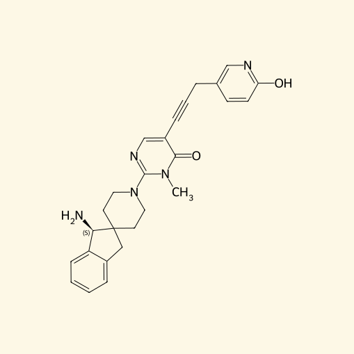 Cn1c(N2CCC3(CC2)Cc2ccccc2[C@H]3N)ncc(C#CCc2ccc(O)nc2)c1=O